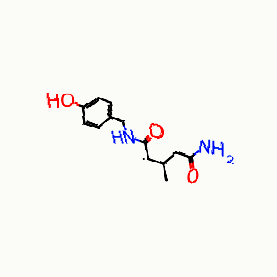 C[C@@H]([CH]C(=O)NCc1ccc(O)cc1)CC(N)=O